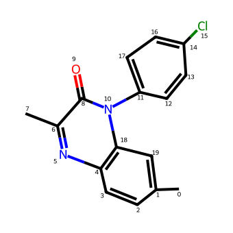 Cc1ccc2nc(C)c(=O)n(-c3ccc(Cl)cc3)c2c1